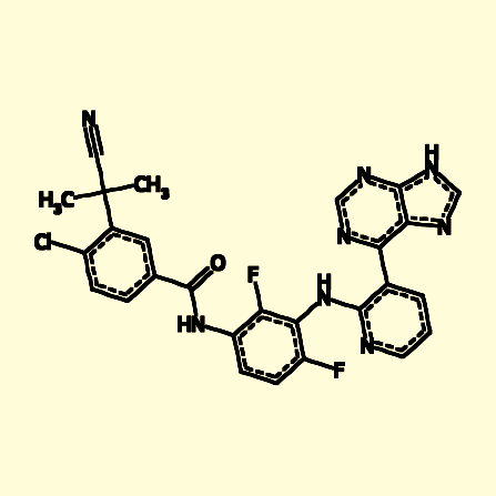 CC(C)(C#N)c1cc(C(=O)Nc2ccc(F)c(Nc3ncccc3-c3ncnc4[nH]cnc34)c2F)ccc1Cl